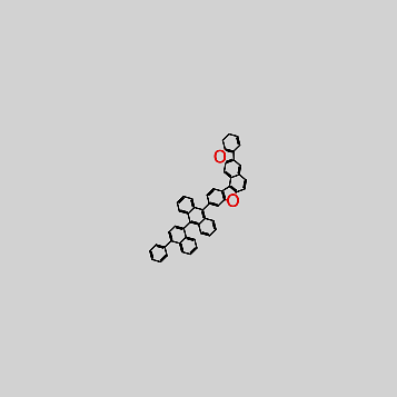 C1=Cc2c(oc3cc4c(ccc5oc6cc(-c7c8ccccc8c(-c8ccc(-c9ccccc9)c9ccccc89)c8ccccc78)ccc6c54)cc23)CC1